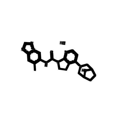 Cc1cc2ncnn2cc1NC(=O)N1CCc2c(N3CC4CCC(C3)N4)ccnc21.Cl